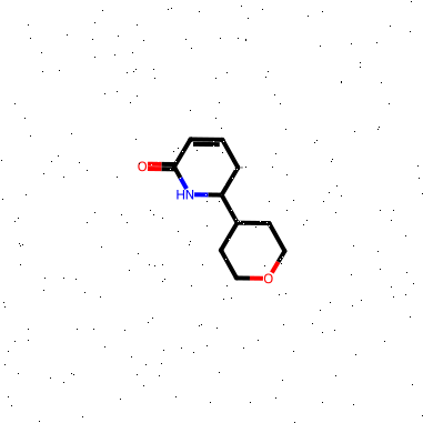 O=C1C=C[CH]C(C2CCOCC2)N1